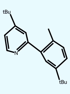 Cc1ccc(C(C)(C)C)cc1-c1cc(C(C)(C)C)ccn1